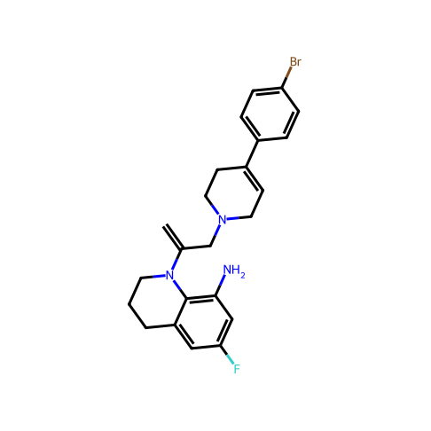 C=C(CN1CC=C(c2ccc(Br)cc2)CC1)N1CCCc2cc(F)cc(N)c21